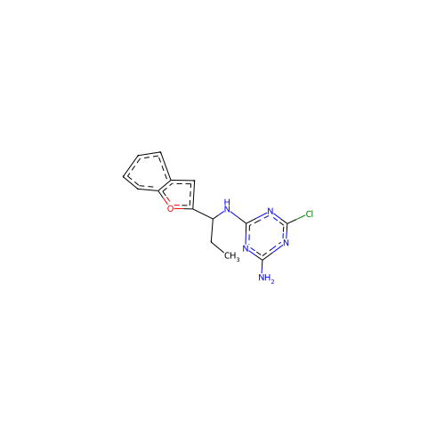 CCC(Nc1nc(N)nc(Cl)n1)c1cc2ccccc2o1